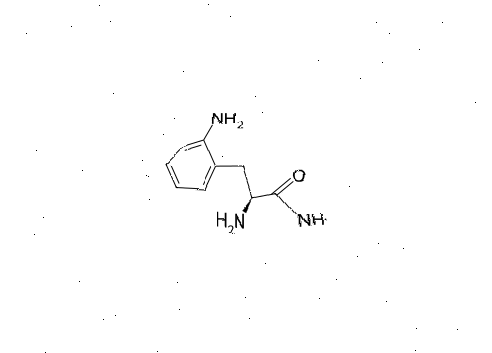 [NH]C(=O)[C@@H](N)Cc1ccccc1N